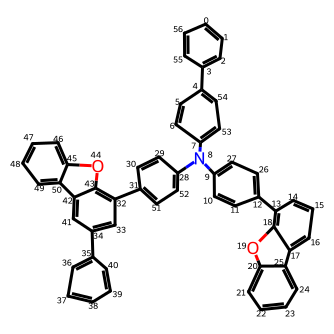 c1ccc(-c2ccc(N(c3ccc(-c4cccc5c4oc4ccccc45)cc3)c3ccc(-c4cc(-c5ccccc5)cc5c4oc4ccccc45)cc3)cc2)cc1